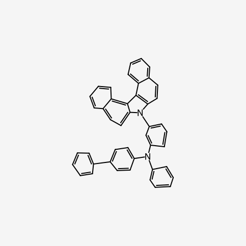 c1ccc(-c2ccc(N(c3ccccc3)c3cccc(-n4c5ccc6ccccc6c5c5c6ccccc6ccc54)c3)cc2)cc1